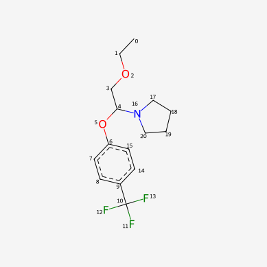 CCOCC(Oc1ccc(C(F)(F)F)cc1)N1CCCC1